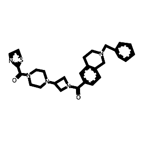 O=C(c1ccc2c(c1)CCN(Cc1ccccc1)C2)N1CC(N2CCN(C(=O)c3nccs3)CC2)C1